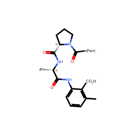 CCCCCC(=O)N1CCC[C@H]1C(=O)N[C@H](C(=O)Nc1cccc(C)c1C(=O)O)C(C)C